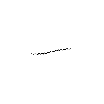 CCCCCCCCC=CCCCCCCCCNCCCCCCCCC=CCCCCCCCC